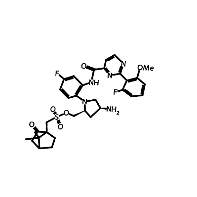 COc1cccc(F)c1-c1nccc(C(=O)Nc2cc(F)ccc2N2C[C@@H](N)C[C@H]2COS(=O)(=O)CC23CCC(CC2=O)C3(C)C)n1